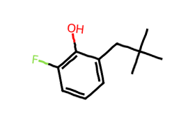 CC(C)(C)Cc1cccc(F)c1O